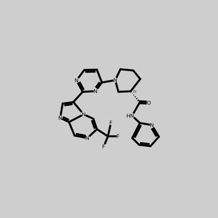 O=C(Nc1ccccn1)[C@H]1CCCN(c2ccnc(-c3cnc4cnc(C(F)(F)F)cn34)n2)C1